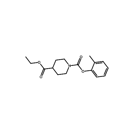 CCOC(=O)C1CCN(C(=O)Oc2ccccc2C)CC1